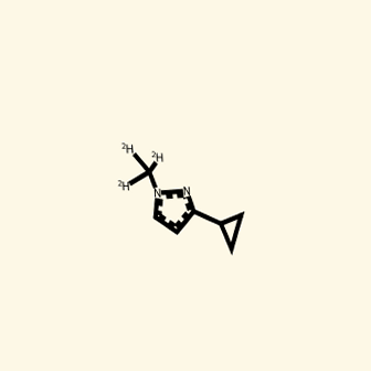 [2H]C([2H])([2H])n1ccc(C2CC2)n1